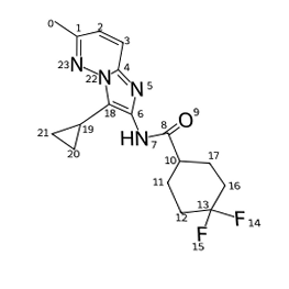 Cc1ccc2nc(NC(=O)C3CCC(F)(F)CC3)c(C3CC3)n2n1